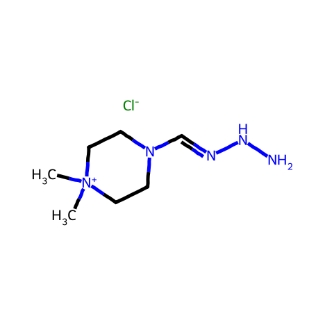 C[N+]1(C)CCN(C=NNN)CC1.[Cl-]